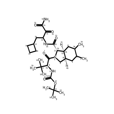 CC1C[C@H]2CN(C(=O)[C@@H](NC(=O)OC(C)(C)C)C(C)(C)C)[C@H](C(=O)NC(CC3CCC3)C(=O)C(N)=O)[C@H]2CC1C